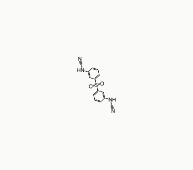 N#CNc1cccc(S(=O)(=O)c2cccc(NC#N)c2)c1